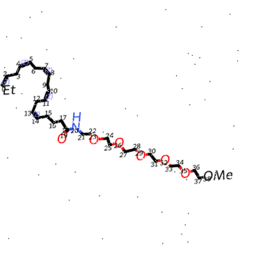 CC/C=C\C/C=C\C/C=C\C/C=C\C/C=C\CCCC(=O)NCCOCCOCCOCCOCCOCCOC